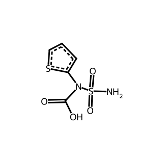 NS(=O)(=O)N(C(=O)O)c1cccs1